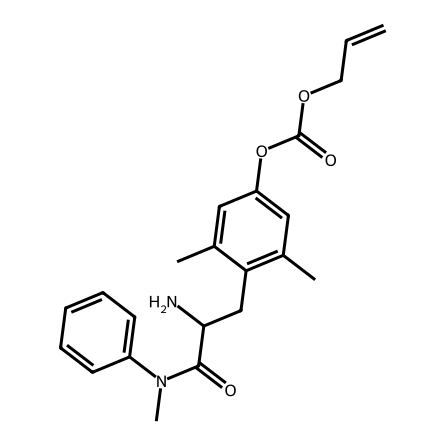 C=CCOC(=O)Oc1cc(C)c(CC(N)C(=O)N(C)c2ccccc2)c(C)c1